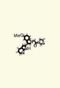 COc1ccc2c(c1)c(-c1cc3cccnc3[nH]1)cn2CC(=O)N1CCSC1